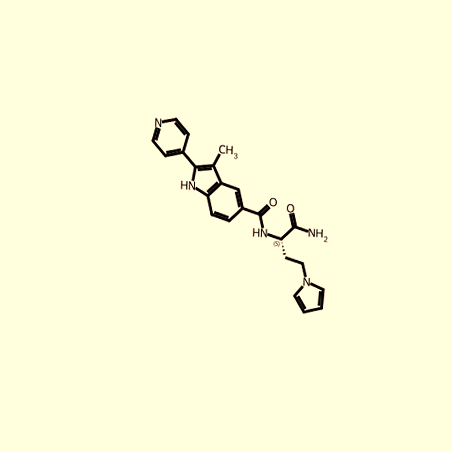 Cc1c(-c2ccncc2)[nH]c2ccc(C(=O)N[C@@H](CCn3cccc3)C(N)=O)cc12